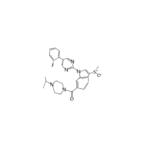 CC(C)N1CCN(C(=O)c2ccc3c([S+](C)[O-])cn(-c4ncc(-c5ccccc5F)cn4)c3c2)CC1